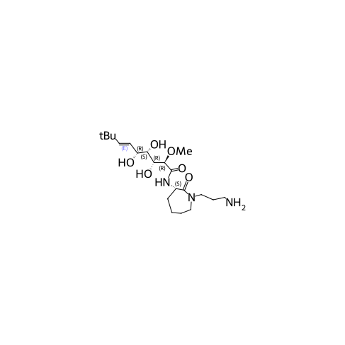 CO[C@@H](C(=O)N[C@H]1CCCCN(CCCN)C1=O)[C@H](O)[C@@H](O)[C@H](O)/C=C/C(C)(C)C